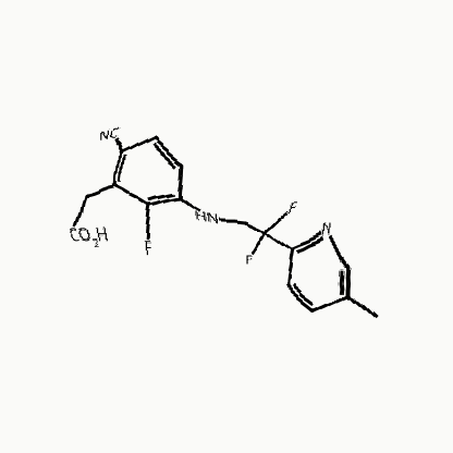 Cc1ccc(C(F)(F)CNc2ccc(C#N)c(CC(=O)O)c2F)nc1